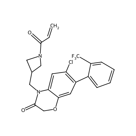 C=CC(=O)N1CC(CN2C(=O)COc3cc(-c4ccccc4C(F)(F)F)c(Cl)cc32)C1